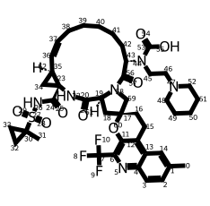 Cc1ccc2nc(C(F)(F)F)c3c(c2c1)CC[C@]1(C[C@H]2C(=O)N[C@]4(C(=O)NS(=O)(=O)C5(C)CC5)C[C@H]4/C=C\CCCCC[C@H](N(CCN4CCCCC4)C(=O)O)C(=O)N2C1)O3